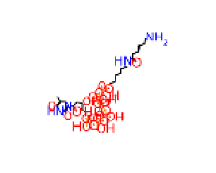 Cc1cn([C@H]2CC(O)[C@@H](COP(=O)(O)OP(=O)(O)OP(=O)(O)OP(=O)(O)OP(=O)(O)OP(=O)(O)OCCCCCCNC(=O)CCCCCN)O2)c(=O)[nH]c1=O